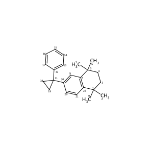 CC1(C)CCC(C)(C)c2cc(C3(c4c[c]ccc4)CC3)ccc21